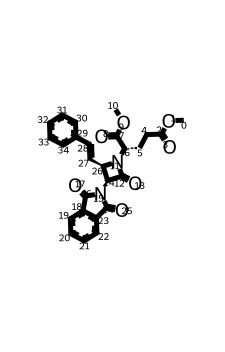 COC(=O)CC[C@@H](C(=O)OC)N1C(=O)[C@@H](N2C(=O)c3ccccc3C2=O)[C@H]1/C=C/c1ccccc1